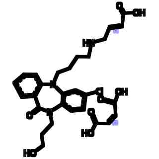 O=C(O)/C=C/CNCCCCN1c2ccccc2C(=O)N(CCCO)c2ccc(Cl)cc21.O=C(O)/C=C\C(=O)O